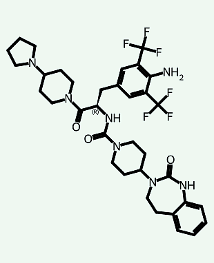 Nc1c(C(F)(F)F)cc(C[C@@H](NC(=O)N2CCC(N3CCc4ccccc4NC3=O)CC2)C(=O)N2CCC(N3CCCC3)CC2)cc1C(F)(F)F